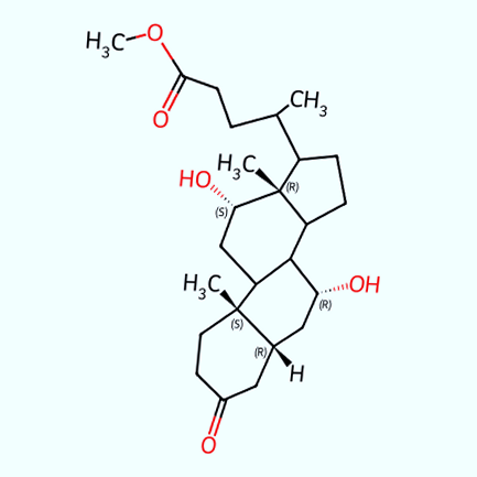 COC(=O)CCC(C)C1CCC2C3C(C[C@H](O)[C@]12C)[C@@]1(C)CCC(=O)C[C@H]1C[C@H]3O